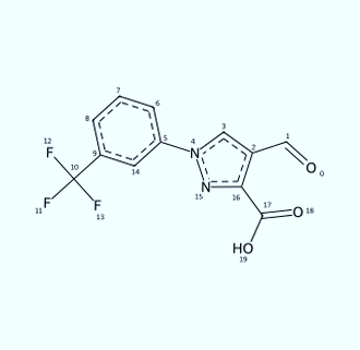 O=Cc1cn(-c2cccc(C(F)(F)F)c2)nc1C(=O)O